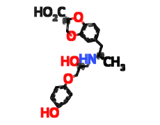 C[C@H](Cc1ccc2c(c1)OC[C@H](C(=O)O)O2)NC[C@H](O)COc1ccc(O)cc1